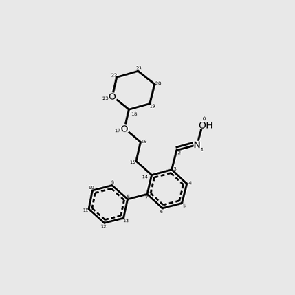 ON=Cc1cccc(-c2ccccc2)c1CCOC1CCCCO1